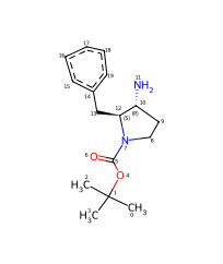 CC(C)(C)OC(=O)N1CC[C@@H](N)[C@@H]1Cc1ccccc1